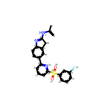 C=C(C)NC1=Nc2ccc(-c3cccc(S(=O)(=O)c4cccc(F)c4)n3)cc2C1